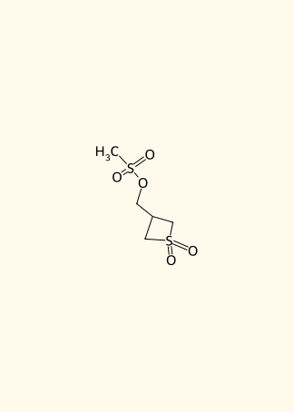 CS(=O)(=O)OCC1CS(=O)(=O)C1